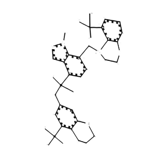 Cn1ncc2c(C(C)(C)Cc3cc4c(c(C(C)(C)C)c3)CCCN4)ccc(CN3CCOc4cccc(C(C)(C)C)c43)c21